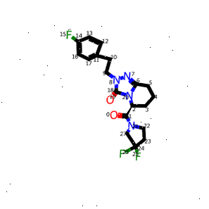 O=C([C@@H]1CCCc2nn(CCc3ccc(F)cc3)c(=O)n21)N1CCC(F)(F)C1